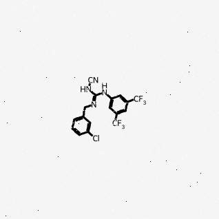 N#CN/C(=N\Cc1cccc(Cl)c1)Nc1cc(C(F)(F)F)cc(C(F)(F)F)c1